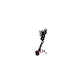 CN(CCCCCCCSc1ccc2c(c1)CN(C1CCC(=O)NC1=O)C2=O)C1C2CC3CC(C2)CC1C3